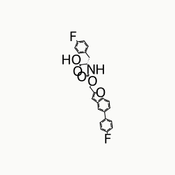 O=C(N[C@@H](Cc1ccc(F)cc1)C(=O)O)OCc1cc2cc(-c3ccc(F)cc3)ccc2o1